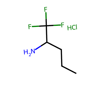 CCCC(N)C(F)(F)F.Cl